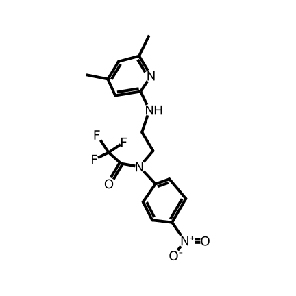 Cc1cc(C)nc(NCCN(C(=O)C(F)(F)F)c2ccc([N+](=O)[O-])cc2)c1